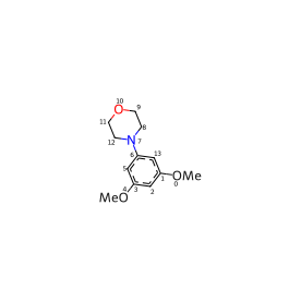 COc1cc(OC)cc(N2CCOCC2)c1